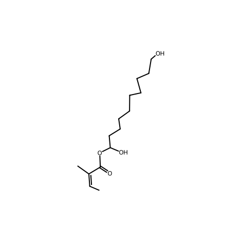 CC=C(C)C(=O)OC(O)CCCCCCCCCO